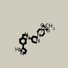 CS(=O)(=O)N1CCN(c2cc(-n3ncc4ccc(-c5ccn[nH]5)cc43)ccn2)CC1